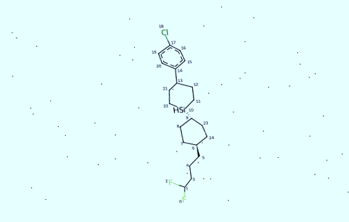 FC(F)CCC[C@H]1CC[C@H]([SiH]2CCC(c3ccc(Cl)cc3)CC2)CC1